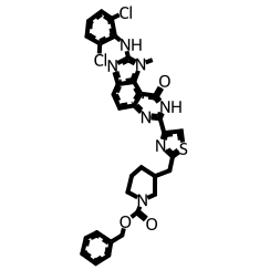 Cn1c(Nc2c(Cl)cccc2Cl)nc2ccc3nc(-c4csc(CC5CCCN(C(=O)OCc6ccccc6)C5)n4)[nH]c(=O)c3c21